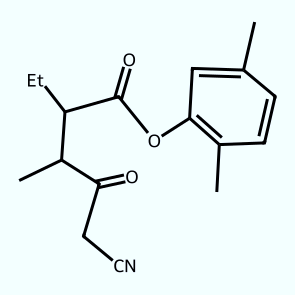 CCC(C(=O)Oc1cc(C)ccc1C)C(C)C(=O)CC#N